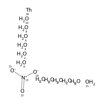 O.O.O.O.O.O.O.O.O.O.O.O.O=[N+]([O-])[O-].[Th]